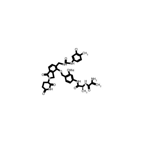 C=C(N)C(=O)N[C@@H](C)C(=O)Nc1ccc(COc2c(CNC(=O)Nc3ccc(C)c(Cl)c3)ccc3c2CN(C2CCC(=O)NC2=O)C3=O)c(OC)c1